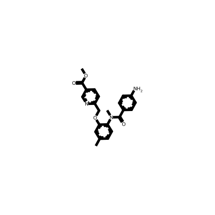 COC(=O)c1ccc(COc2cc(C)ccc2N(C)C(=O)c2ccc(N)cc2)nc1